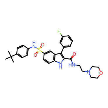 CC(C)(C)c1ccc(NS(=O)(=O)c2ccc3[nH]c(C(=O)NCCN4CCOCC4)c(-c4cccc(F)c4)c3c2)cc1